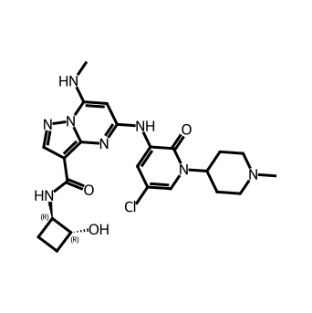 CNc1cc(Nc2cc(Cl)cn(C3CCN(C)CC3)c2=O)nc2c(C(=O)N[C@@H]3CC[C@H]3O)cnn12